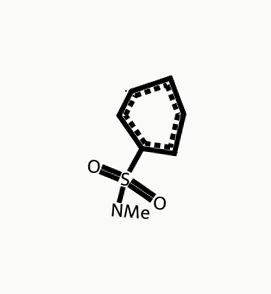 CNS(=O)(=O)c1c[c]ccc1